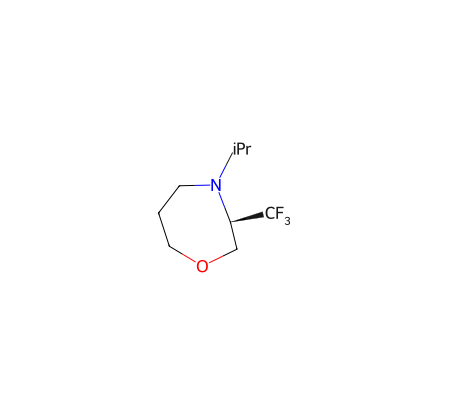 CC(C)N1CCCOC[C@@H]1C(F)(F)F